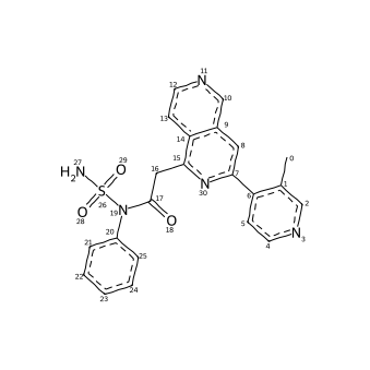 Cc1cnccc1-c1cc2cnccc2c(CC(=O)N(c2ccccc2)S(N)(=O)=O)n1